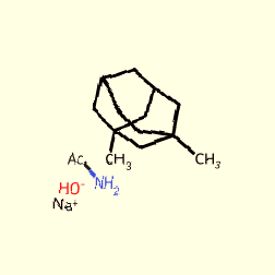 CC(N)=O.CC12CC3CC(C1)CC(C)(C3)C2.[Na+].[OH-]